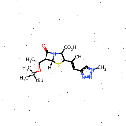 C/C(=C\c1cn(C)nn1)C1S[C@@H]2[C@@H]([C@@H](C)O[Si](C)(C)C(C)(C)C)C(=O)N2C1C(=O)O